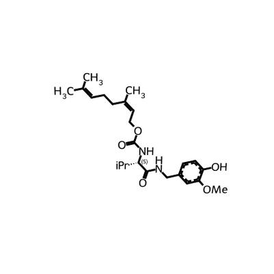 COc1cc(CNC(=O)[C@@H](NC(=O)OCC=C(C)CCC=C(C)C)C(C)C)ccc1O